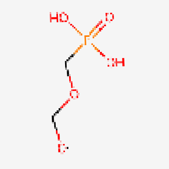 [O]COCP(=O)(O)O